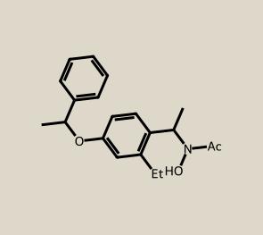 CCc1cc(OC(C)c2ccccc2)ccc1C(C)N(O)C(C)=O